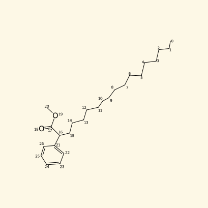 CCCCCCCCCCCCCCCCC(C(=O)OC)c1ccccc1